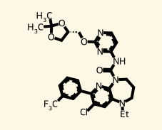 CCN1CCCN(C(=O)Nc2ccnc(OC[C@@H]3COC(C)(C)O3)n2)c2nc(-c3cccc(C(F)(F)F)c3)c(Cl)cc21